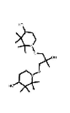 CC(O)(CON1CCC(O)C(C)(C)C1(C)C)CON1CCC(O)C(C)(C)C1(C)C